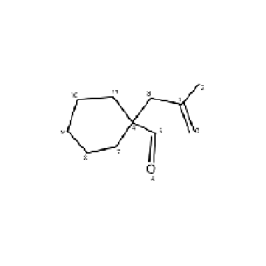 C=C(C)CC1(C=O)CCCCC1